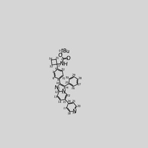 CC(C)(C)OC(=O)NC1(c2ccc(-c3nc4ccc(-c5ccncc5)cn4c3-c3ccccc3)cc2)CCC1